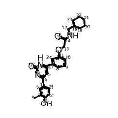 Cc1cc(-c2cc(-c3cccc(OCC(=O)NCC4CCCCC4)c3)[nH]c(=O)n2)ccc1O